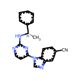 C[C@H](Nc1nccc(-n2cnc3cc(C#N)ccc32)n1)c1ccccc1